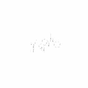 Cc1ccc(Nc2ccc3c(C(=O)NC(C)C(C)C)cn(C(C)(C)C)c3n2)cc1